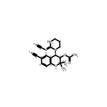 CC(=O)OC1[C@H](N2CCCNC2=NC#N)c2cc(C#N)ccc2OC1(C)C